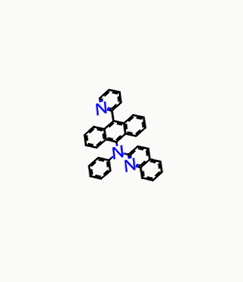 c1ccc(N(c2ccc3ccccc3n2)c2c3ccccc3c(-c3ccccn3)c3ccccc23)cc1